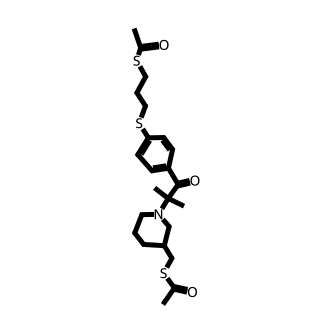 CC(=O)SCCCSc1ccc(C(=O)C(C)(C)N2CCCC(CSC(C)=O)C2)cc1